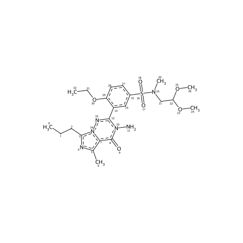 CCCc1nc(C)c2c(=O)n(N)c(-c3cc(S(=O)(=O)N(C)CC(OC)OC)ccc3OCC)nn12